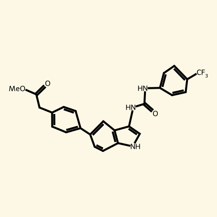 COC(=O)Cc1ccc(-c2ccc3[nH]cc(NC(=O)Nc4ccc(C(F)(F)F)cc4)c3c2)cc1